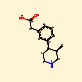 C[C@H]1CNCC[C@H]1c1cccc(CC(=O)O)c1